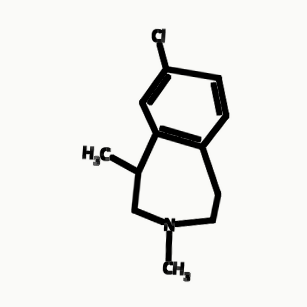 CC1CN(C)CCc2ccc(Cl)cc21